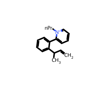 C=CC(C)c1ccccc1-c1cccc[n+]1CCC